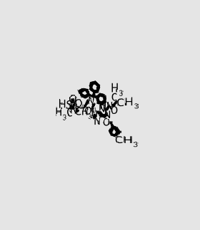 Cc1ccc(COc2nc(NC(=O)C(C)C)nc3c2ncn3[C@H]2CN(C(c3ccccc3)(c3ccccc3)c3ccccc3)C[C@@H](CO[P@](=O)(S)N(C)C)O2)cc1